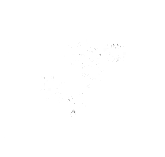 CCOC(OC)Oc1ccc(C#CCC(=O)OCc2ccccc2)cc1C12CC3CC(CC(C3)C1)C2